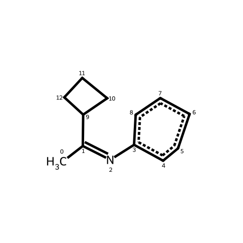 CC(=Nc1ccccc1)C1CCC1